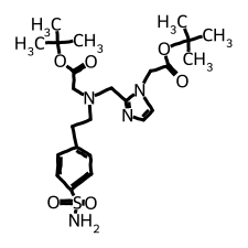 CC(C)(C)OC(=O)CN(CCc1ccc(S(N)(=O)=O)cc1)Cc1nccn1CC(=O)OC(C)(C)C